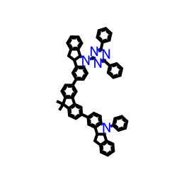 CC1(C)c2ccc(-c3ccc4c(c3)C3Cc5ccccc5C3N4c3ccccc3)cc2-c2cc(-c3ccc4c(c3)C3Cc5ccccc5C3N4c3nc(-c4ccccc4)nc(-c4ccccc4)n3)ccc21